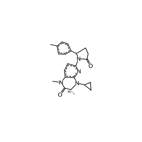 Cc1ccc(C2CCC(=O)N2c2ccc3c(n2)N(C2CC2)[C@H](C)C(=O)N3C)cc1